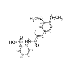 COc1ccc(C=C(I)C(=O)Nc2ccccc2C(=O)O)cc1OC